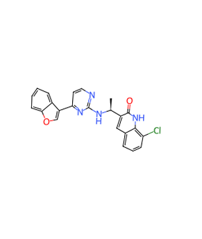 C[C@H](Nc1nccc(-c2coc3ccccc23)n1)c1cc2cccc(Cl)c2[nH]c1=O